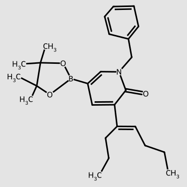 CCCC=C(CCC)c1cc(B2OC(C)(C)C(C)(C)O2)cn(Cc2ccccc2)c1=O